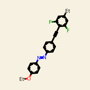 CCOc1ccc(N=Nc2ccc(C#Cc3c(F)cc(CC)cc3F)cc2)cc1